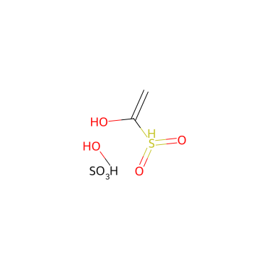 C=C(O)[SH](=O)=O.O=S(=O)(O)O